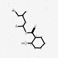 CCC(CC(C)CC(C)(C)C)OC(=O)C1CCCCC1C(=O)O